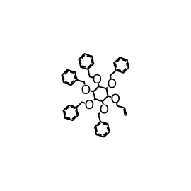 C=CCOC1C(OCc2ccccc2)C(OCc2ccccc2)C(OCc2ccccc2)C(OCc2ccccc2)C1OCc1ccccc1